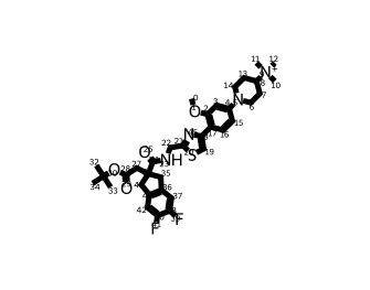 COc1cc(N2CCC([N+](C)(C)C)CC2)ccc1-c1csc(CNC(=O)C2(CC(=O)OC(C)(C)C)Cc3cc(F)c(F)cc3C2)n1